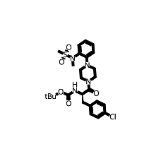 CN(c1ccccc1N1CCN(C(=O)[C@@H](Cc2ccc(Cl)cc2)NC(=O)OC(C)(C)C)CC1)S(C)(=O)=O